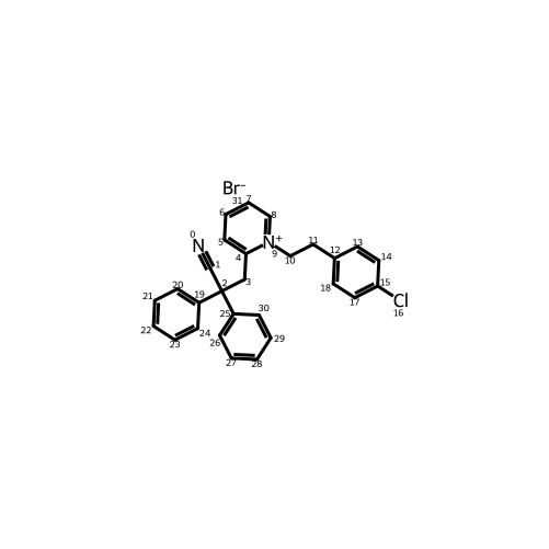 N#CC(Cc1cccc[n+]1CCc1ccc(Cl)cc1)(c1ccccc1)c1ccccc1.[Br-]